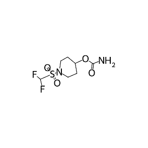 NC(=O)OC1CCN(S(=O)(=O)C(F)F)CC1